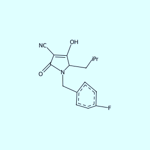 CC(C)CC1C(O)=C(C#N)C(=O)N1Cc1ccc(F)cc1